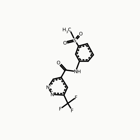 CS(=O)(=O)c1cccc(NC(=O)c2cnnc(C(F)(F)F)c2)c1